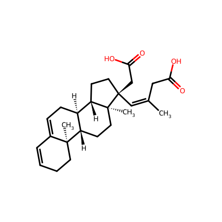 CC(=C[C@@]1(CC(=O)O)CC[C@H]2[C@@H]3CC=C4C=CCC[C@]4(C)[C@H]3CC[C@@]21C)CC(=O)O